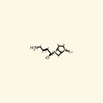 NC/C=C/C(=O)N1CC2C1CCN2I